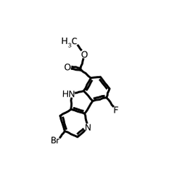 COC(=O)c1ccc(F)c2c1[nH]c1cc(Br)cnc12